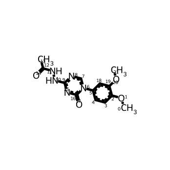 COc1ccc(-n2cnc(NNC(C)=O)nc2=O)cc1OC